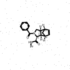 CC(C)NC(=O)[C@@H]1[C@@H]2[C@H](CN1C(=O)c1ccccc1)[C@@H]1C=C[C@H]2C1